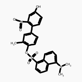 Cc1cc(-c2ccc(O)cc2[N+](=O)[O-])ccc1OS(=O)(=O)c1cccc2c(N(C)C)cccc12